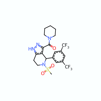 CS(=O)(=O)N1CCc2[nH]nc(C(=O)N3CCCCC3)c2C1c1cc(C(F)(F)F)cc(C(F)(F)F)c1